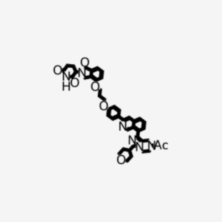 CC(=O)N1CCn2c(C3CCOCC3)nc(-c3cccc4cc(-c5ccc(OCCCOc6cccc7c6CN(C6CCC(=O)NC6=O)C7=O)cc5)ncc34)c2C1